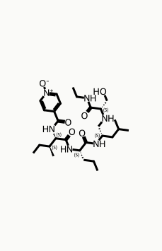 CCC[C@H](NC(=O)[C@@H](NC(=O)c1cc[n+]([O-])cc1)[C@@H](C)CC)C(=O)N[C@H](CN[C@@H](CO)C(=O)NCC)CC(C)C